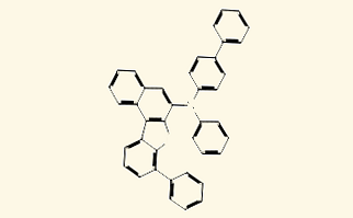 c1ccc(-c2ccc(N(c3ccccc3)c3cc4ccccc4c4c3oc3c(-c5ccccc5)cccc34)cc2)cc1